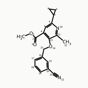 COC(=O)c1cc(C2CC2)nc(C)c1OCc1cccc(C#N)c1